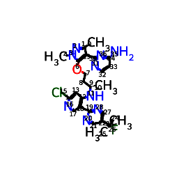 Cc1nn(C)c(OCC[C@H](C)Nc2cc(Cl)ncc2-c2ncc(C(C)(C)F)cn2)c1-c1nccc(N)n1